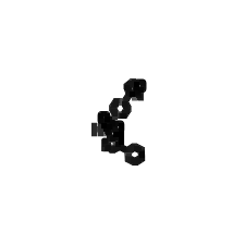 O=S(=O)(Nc1nc(-c2ccccc2)cs1)c1ccc(-c2ccon2)cc1